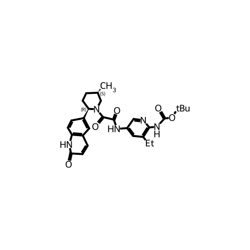 CCc1cc(NC(=O)C(=O)N2C[C@@H](C)CC[C@@H]2c2ccc3[nH]c(=O)ccc3c2)cnc1NC(=O)OC(C)(C)C